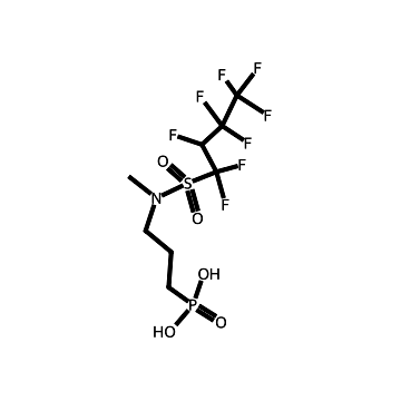 CN(CCCP(=O)(O)O)S(=O)(=O)C(F)(F)C(F)C(F)(F)C(F)(F)F